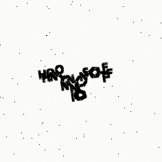 O=C(NO)c1cnc(NC2(c3ccccc3)CCN(Sc3ccc(C(F)(F)F)cc3)CC2)nc1